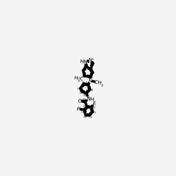 Cc1cc2[nH]ncc2cc1N(C)c1cccc(NC(=O)c2c(F)cccc2F)c1